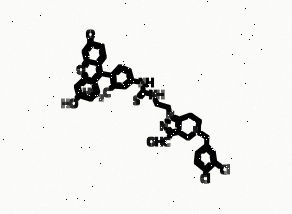 O=Cc1nn(CCNC(=S)Nc2ccc(-c3c4ccc(=O)cc-4oc4cc(O)ccc34)c(C(=O)O)c2)c2c1CN(Cc1ccc(Cl)c(Cl)c1)CC2